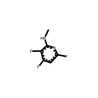 CNc1nc(F)[c]c(F)c1F